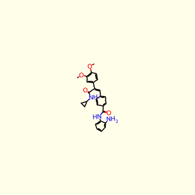 COc1ccc(/C(=C/c2ccc(C(=O)Nc3ccccc3N)cc2)C(=O)NC2CC2)cc1OC